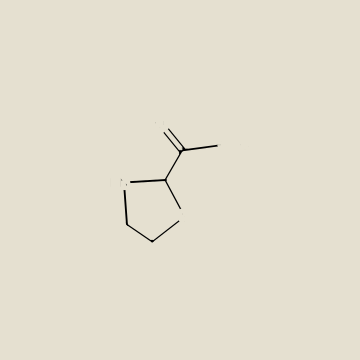 O=CC(=O)C1NCCS1